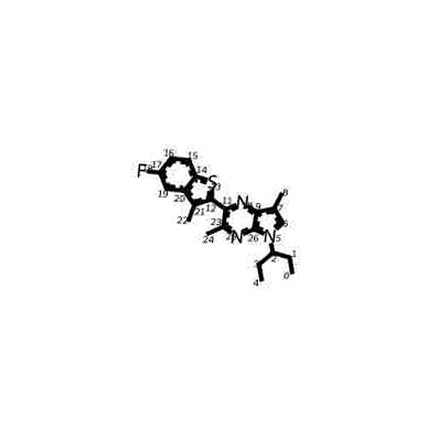 CCC(CC)n1cc(C)c2nc(-c3sc4ccc(F)cc4c3C)c(C)nc21